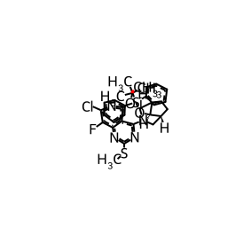 CCOc1nc(Cl)c(F)c2nc(SC)nc(N3C[C@H]4CC[C@@H](C3)[C@@H]4O[Si](c3ccccc3)(c3ccccc3)C(C)(C)C)c12